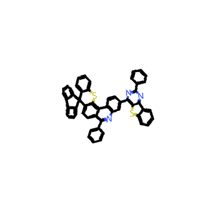 c1ccc(-c2nc(-c3ccc4c(c3)nc(-c3ccccc3)c3ccc5c(c34)Sc3ccccc3C53c4ccccc4-c4ccccc43)c3sc4ccccc4c3n2)cc1